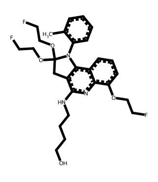 Cc1ccccc1N1c2c(c(NCCCCO)nc3c(OCCF)cccc23)CC1(OCCF)OCCF